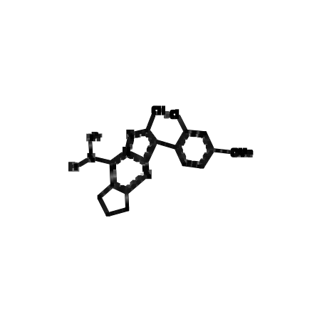 CCCN(CC)c1c2c(nc3c(-c4ccc(OC)cc4Cl)c(C)nn13)CCC2